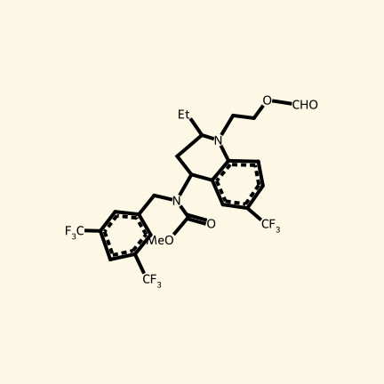 CCC1CC(N(Cc2cc(C(F)(F)F)cc(C(F)(F)F)c2)C(=O)OC)c2cc(C(F)(F)F)ccc2N1CCOC=O